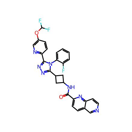 O=C(NC1CC(c2nnc(-c3ccc(OC(F)F)cn3)n2-c2ccccc2F)C1)c1ccc2cnccc2n1